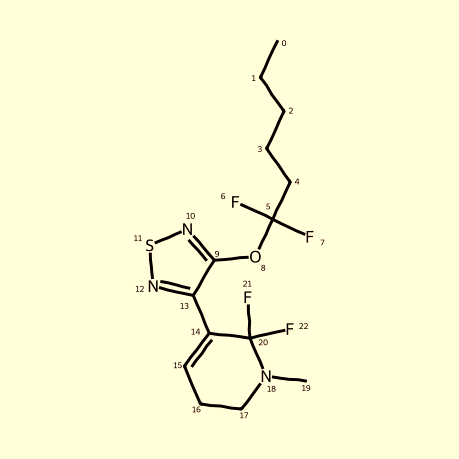 CCCCCC(F)(F)Oc1nsnc1C1=CCCN(C)C1(F)F